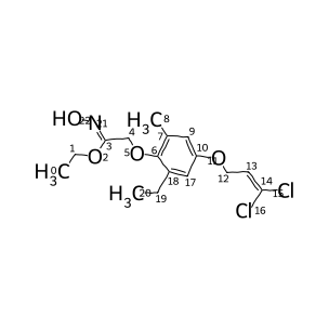 CCOC(COc1c(C)cc(OCC=C(Cl)Cl)cc1CC)=NO